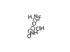 Cl.NC/C(=C\F)COc1ccc2[nH]c(=O)ccc2c1